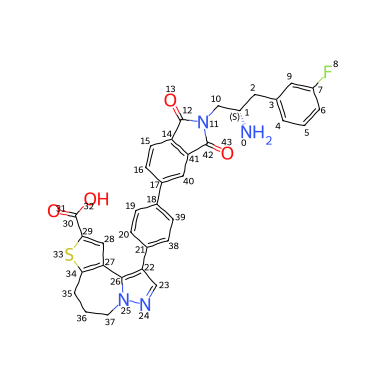 N[C@@H](Cc1cccc(F)c1)CN1C(=O)c2ccc(-c3ccc(-c4cnn5c4-c4cc(C(=O)O)sc4CCC5)cc3)cc2C1=O